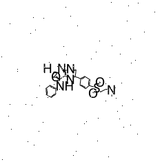 CN(C)CCS(=O)(=O)c1ccc(-c2cnc(N)c(C(=O)Nc3ccccc3)n2)cc1